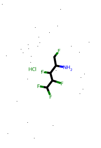 Cl.NC(CF)C(F)C(F)C(F)F